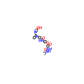 CCC(CC)NC(=O)Nc1ccc(Oc2ccc(NC(=O)c3ccc(-n4cc(CN5CCC(O)CC5)c5ccccc54)cc3)cc2)c(OC)c1